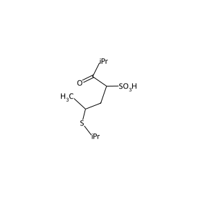 CC(C)SC(C)CC(C(=O)C(C)C)S(=O)(=O)O